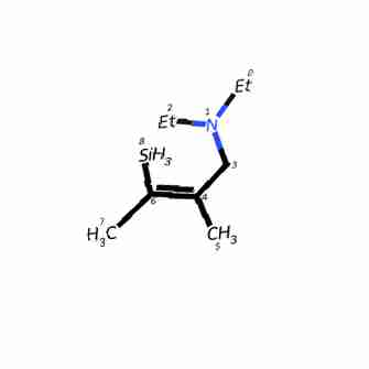 CCN(CC)CC(C)=C(C)[SiH3]